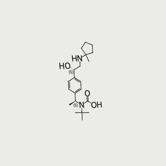 C[C@@H](c1ccc([C@H](O)CNC2(C)CCCC2)cc1)N(C(=O)O)C(C)(C)C